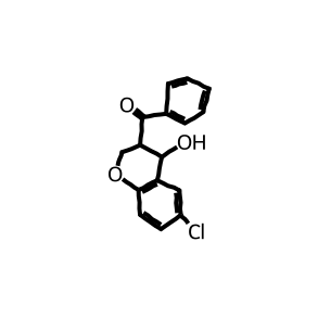 O=C(c1ccccc1)C1COc2ccc(Cl)cc2C1O